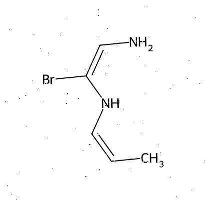 C/C=C\N/C(Br)=C\N